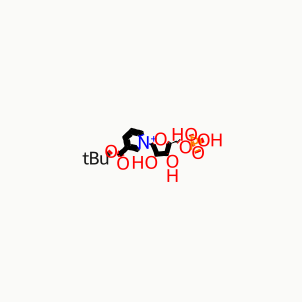 CC(C)(C)OC(=O)c1ccc[n+]([C@@H]2O[C@H](COP(=O)(O)O)[C@@H](O)[C@H]2O)c1